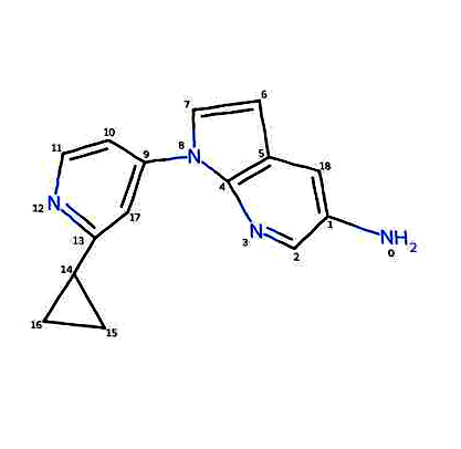 Nc1cnc2c(ccn2-c2ccnc(C3CC3)c2)c1